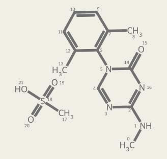 CNc1ncn(-c2c(C)cccc2C)c(=O)n1.CS(=O)(=O)O